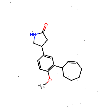 COc1ccc(C2CNC(=O)C2)cc1C1C=CCCCC1